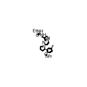 CCCOc1ccc(F)cc1[C@H]1CCCN1c1ccn2ncc(CNC(=O)NCC)c2n1